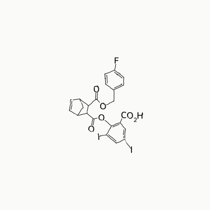 O=C(O)c1cc(I)cc(I)c1OC(=O)C1C2C=CC(C2)C1C(=O)OCc1ccc(F)cc1